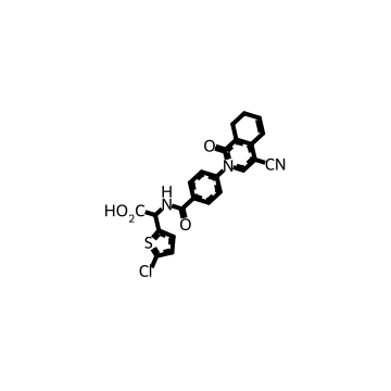 N#Cc1cn(-c2ccc(C(=O)NC(C(=O)O)c3ccc(Cl)s3)cc2)c(=O)c2c1C=CCC2